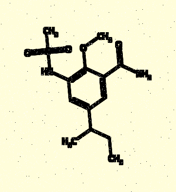 CCC(C)c1cc(NS(C)(=O)=O)c(OC)c(C(N)=O)c1